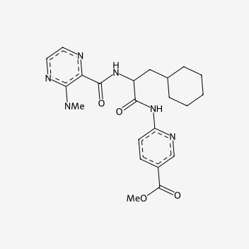 CNc1nccnc1C(=O)NC(CC1CCCCC1)C(=O)Nc1ccc(C(=O)OC)cn1